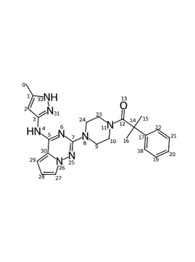 Cc1cc(Nc2nc(N3CCN(C(=O)C(C)(C)c4ccccc4)CC3)nn3cccc23)n[nH]1